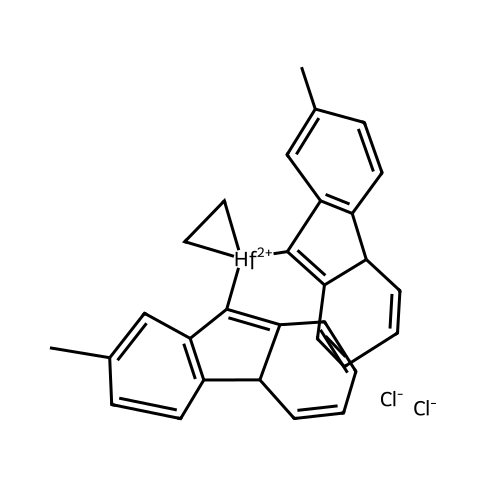 Cc1ccc2c(c1)[C]([Hf+2]1([C]3=C4C=CC=CC4c4ccc(C)cc43)[CH2][CH2]1)=C1C=CC=CC12.[Cl-].[Cl-]